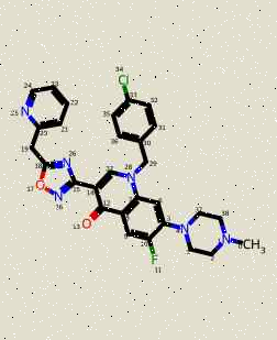 CN1CCN(c2cc3c(cc2F)c(=O)c(-c2noc(Cc4ccccn4)n2)cn3Cc2ccc(Cl)cc2)CC1